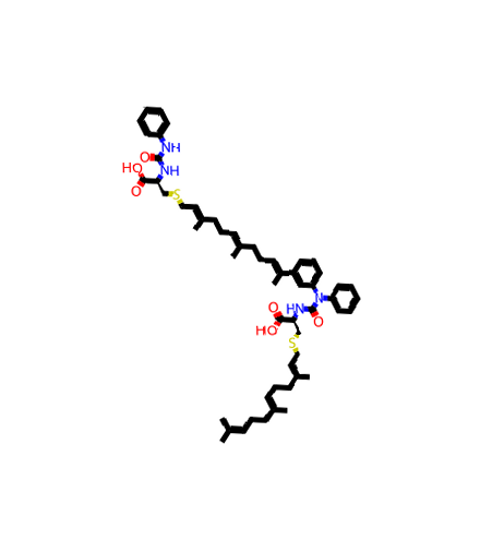 CC(C)=CCC/C(C)=C/CC/C(C)=C/CSC[C@H](NC(=O)N(c1ccccc1)c1cccc(/C(C)=C/CC/C(C)=C/CC/C(C)=C/CSC[C@H](NC(=O)Nc2ccccc2)C(=O)O)c1)C(=O)O